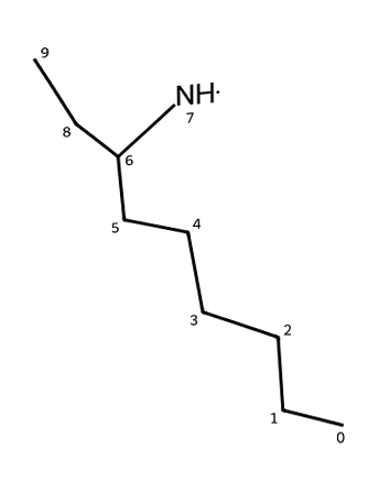 CCCCCCC([NH])CC